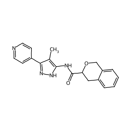 Cc1c(-c2ccncc2)n[nH]c1NC(=O)C1Cc2ccccc2CO1